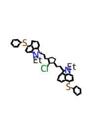 CCn1/c(=C/C=C2\CCC(/C=C/C3=[N+](CC)c4ccc(Sc5ccccc5)c5cccc3c45)=C2Cl)c2cccc3c(Sc4ccccc4)ccc1c32